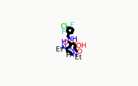 CCN[C@@H]1C[C@@H]2CN(CC)C(=O)c3c(O)c(=O)c(C(=O)NCc4ccc(F)c(Cl)c4F)c1n32